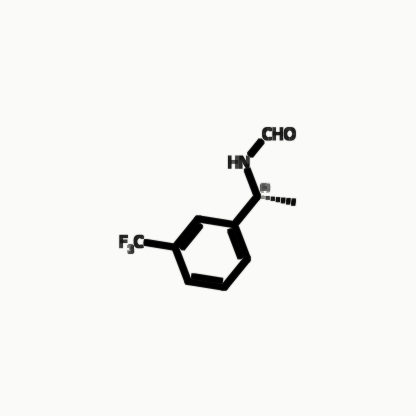 C[C@@H](NC=O)c1cccc(C(F)(F)F)c1